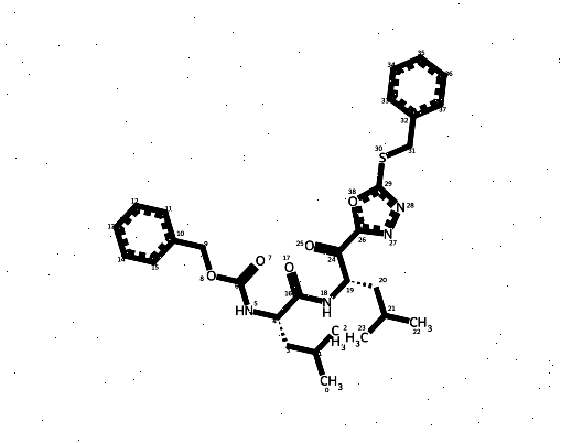 CC(C)C[C@H](NC(=O)OCc1ccccc1)C(=O)N[C@@H](CC(C)C)C(=O)c1nnc(SCc2ccccc2)o1